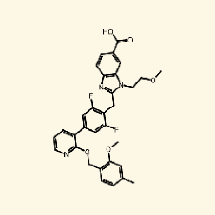 COCCn1c(Cc2c(F)cc(-c3cccnc3OCc3ccc(C)cc3OC)cc2F)nc2ccc(C(=O)O)cc21